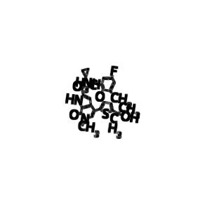 Cc1cc(F)cc(C)c1Oc1cc(C(C)(C)O)sc1-c1cn(C)c(=O)c2[nH]c(C(=O)NC3CC3)cc12